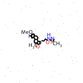 COc1cc2c(cc1I)C1CC[C@]3(C)C(=O)C[C@@H](CCCC(=O)Nc4ncc(C)s4)C3C1CC2